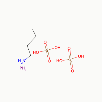 CCCCN.O=S(=O)(O)O.O=S(=O)(O)O.P